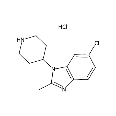 Cc1nc2ccc(Cl)cc2n1C1CCNCC1.Cl